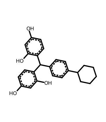 Oc1ccc(C(c2ccc(C3CCCCC3)cc2)c2ccc(O)cc2O)c(O)c1